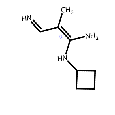 C/C(C=N)=C(\N)NC1CCC1